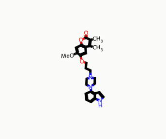 COc1cc2oc(=O)c(C)c(C)c2cc1OCCCN1CCN(c2cccc3[nH]ccc23)CC1